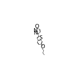 CCCCOc1ccc2cc(-c3ccc(OC)nn3)sc2c1